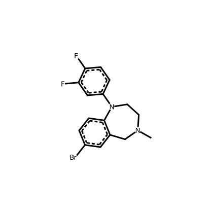 CN1CCN(c2ccc(F)c(F)c2)c2ccc(Br)cc2C1